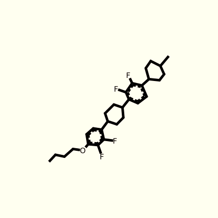 CCCCOc1ccc(C2CCC(c3ccc(C4CCC(C)CC4)c(F)c3F)CC2)c(F)c1F